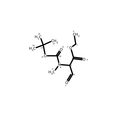 CCOC(=O)C(C=O)N(C)C(=O)OC(C)(C)C